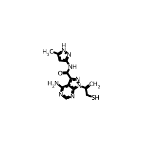 C=C(CS)n1nc(C(=O)Nc2cc(C)[nH]n2)c2c(N)ncnc21